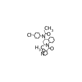 CCC(=O)N(c1ccc(Cl)cc1)C1CC(C)N(C(=O)c2ccno2)c2ccccc21